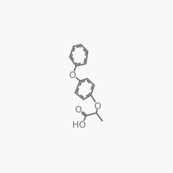 CC(Oc1ccc(Oc2ccccc2)cc1)C(=O)O